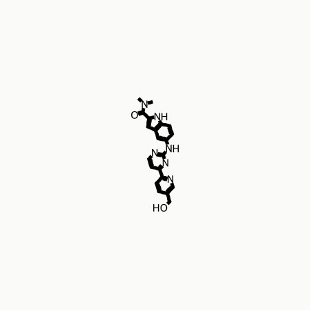 CN(C)C(=O)c1cc2cc(Nc3nccc(-c4ccc(CO)cn4)n3)ccc2[nH]1